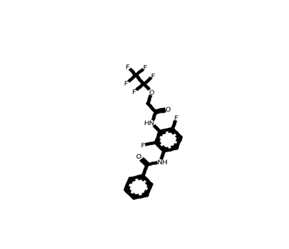 O=C(COC(F)(F)C(F)(F)F)Nc1c(F)ccc(NC(=O)c2ccccc2)c1F